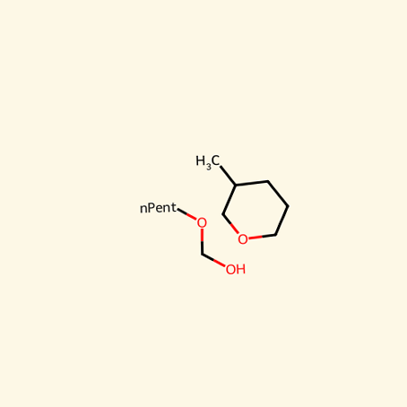 CC1CCCOC1.CCCCCOCO